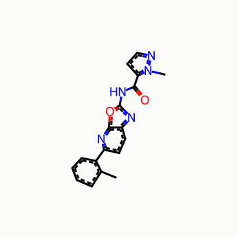 Cc1ccccc1-c1ccc2nc(NC(=O)c3ccnn3C)oc2n1